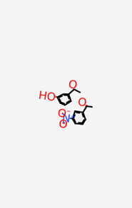 CC(=O)c1cccc(O)c1.CC(=O)c1cccc([N+](=O)[O-])c1